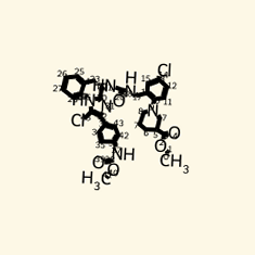 CCOC(=O)C1CCCN(c2ccc(Cl)cc2CNC(=O)N[C@@H](Cc2ccccc2)c2nc(-c3ccc(NC(=O)OC)cc3)c(Cl)[nH]2)C1